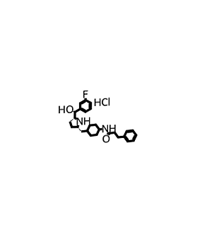 Cl.O=C(CCc1ccccc1)NC1CCC(C[C@@H]2CC[C@H]([C@@H](O)c3cccc(F)c3)N2)CC1